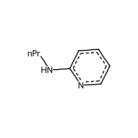 CCCNc1ccccn1